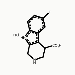 Cl.O=C(O)C1CNCc2[nH]c3ccc(F)cc3c21